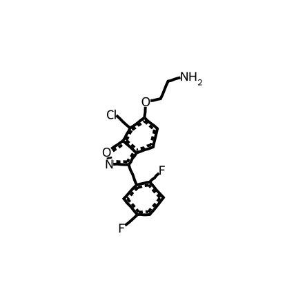 NCCOc1ccc2c(-c3cc(F)ccc3F)noc2c1Cl